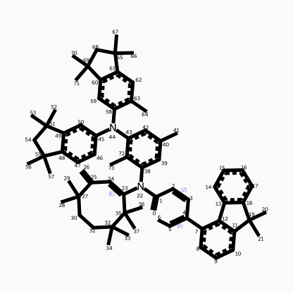 C=C(/C=C\C(=C/C)c1cccc2c1-c1ccccc1C2(C)C)N(/C1=C/C(=C)C(C)(C)CCC(C)(C)C1(C)C)c1cc(C)cc(N(c2ccc3c(c2)C(C)(C)CC3(C)C)c2cc3c(cc2C)C(C)(C)CC3(C)C)c1C